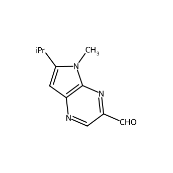 CC(C)c1cc2ncc(C=O)nc2n1C